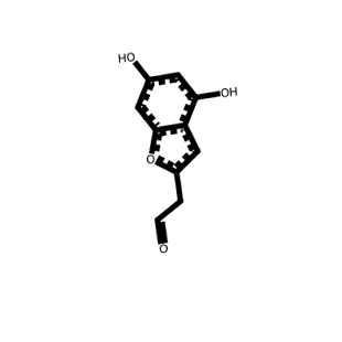 O=CCc1cc2c(O)cc(O)cc2o1